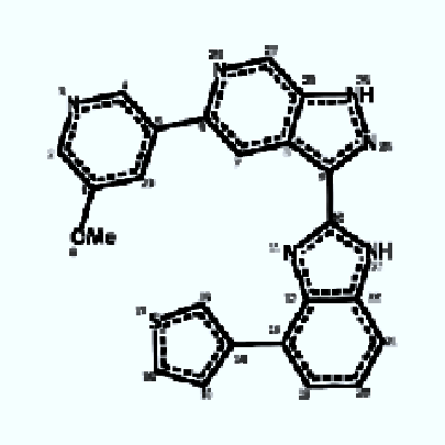 COc1cncc(-c2cc3c(-c4nc5c(-c6ccsc6)cccc5[nH]4)n[nH]c3cn2)c1